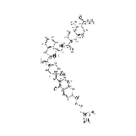 CN(C)CCCOc1ccc2c(=O)n(CC3(O)CCN(C(=O)C(Cc4ccccc4)NCCNC(=O)c4ccc5c(Cl)c(C(N)=O)cnc5c4)CC3)cnc2c1